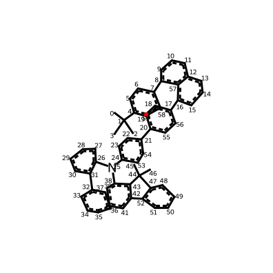 CC(C)(C)c1ccc(-c2cccc3cccc(-c4ccc(-c5ccc(N(c6ccccc6-c6ccccc6)c6cccc7c6C(C)(C)c6ccccc6-7)cc5)cc4)c23)cc1